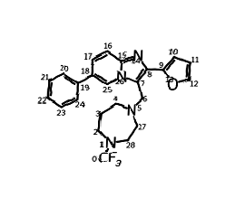 FC(F)(F)N1CCCN(Cc2c(-c3ccco3)nc3ccc(-c4ccccc4)cn23)CC1